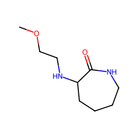 COCCNC1CCCCNC1=O